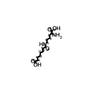 N[C@@H](CCCCNC(=O)CCCCCCC(=O)O)C(=O)O